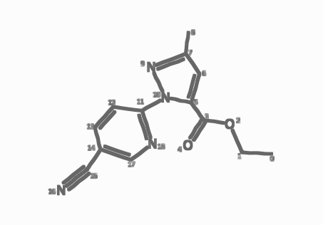 CCOC(=O)c1cc(C)nn1-c1ccc(C#N)cn1